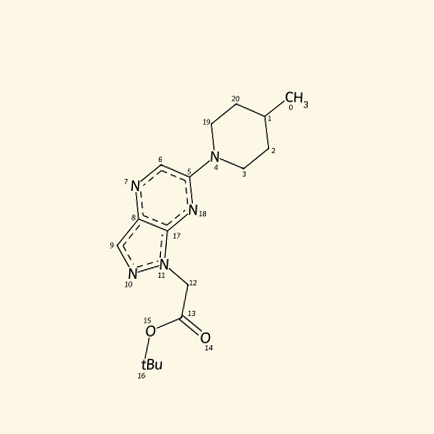 CC1CCN(c2cnc3cnn(CC(=O)OC(C)(C)C)c3n2)CC1